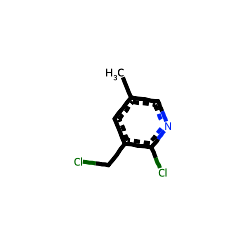 Cc1cnc(Cl)c(CCl)c1